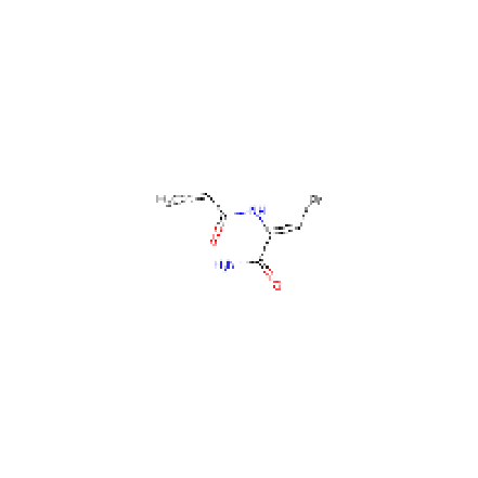 C=CC(=O)NC(=CC(C)C)C(N)=O